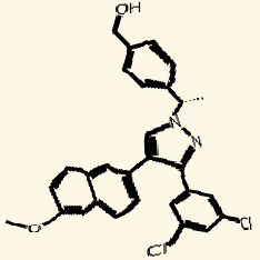 COc1ccc2cc(-c3cn([C@@H](C)c4ccc(CO)cc4)nc3-c3cc(Cl)cc(Cl)c3)ccc2c1